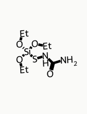 CCO[Si](OCC)(OCC)SNC(N)=O